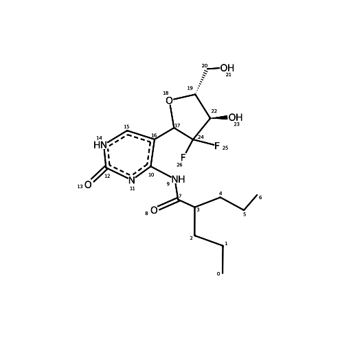 CCCC(CCC)C(=O)Nc1nc(=O)[nH]cc1C1O[C@H](CO)[C@@H](O)C1(F)F